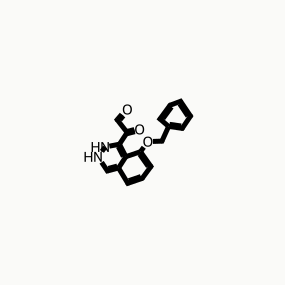 O=CC(=O)C1=c2c(OCc3ccccc3)cccc2=CNN1